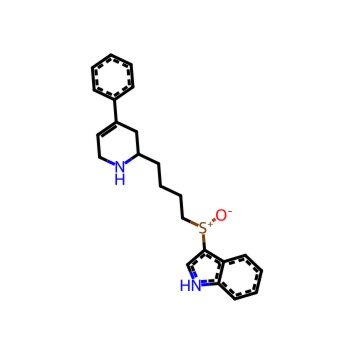 [O-][S+](CCCCC1CC(c2ccccc2)=CCN1)c1c[nH]c2ccccc12